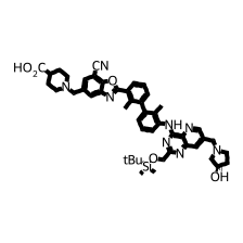 Cc1c(Nc2nc(CO[Si](C)(C)C(C)(C)C)nc3cc(CN4CC[C@@H](O)C4)cnc23)cccc1-c1cccc(-c2nc3cc(CN4CCC(C(=O)O)CC4)cc(C#N)c3o2)c1C